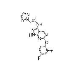 C[C@@H](Cn1nccn1)Nc1n[nH]c2nc(Oc3ccc(F)cc3F)ncc12